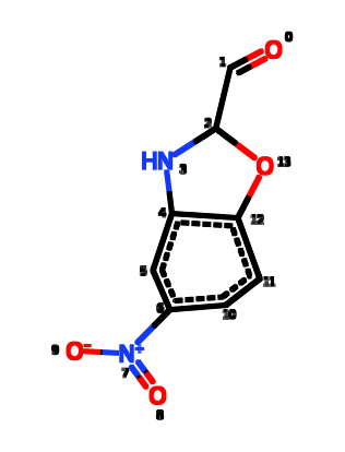 O=CC1Nc2cc([N+](=O)[O-])ccc2O1